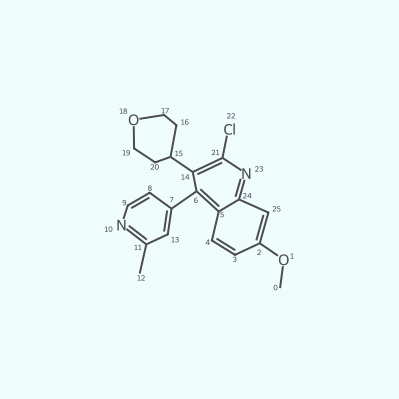 COc1ccc2c(-c3ccnc(C)c3)c(C3CCOCC3)c(Cl)nc2c1